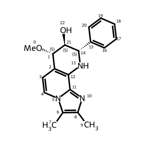 CO[C@H]1c2ccn3c(C)c(C)nc3c2N[C@@H](c2ccccc2)[C@@H]1O